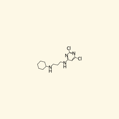 Clc1cc(NCCCNC2CCCCC2)nc(Cl)n1